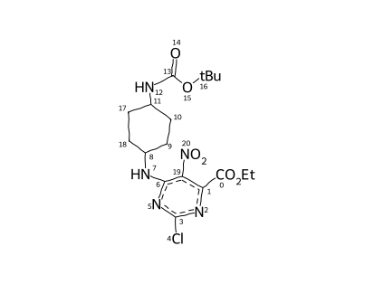 CCOC(=O)c1nc(Cl)nc(NC2CCC(NC(=O)OC(C)(C)C)CC2)c1[N+](=O)[O-]